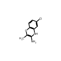 CC1=C(N)Nc2cc(Cl)ccc2O1